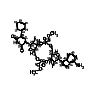 COOP1(=O)OC[C@H]2O[C@@H](n3cc(-c4ccccc4)c(=O)[nH]c3=O)C(F)[C@@H]2OP(=O)(SOC)OC[C@H]2O[C@@H](n3cnc4c(N)ncnc43)C(F)[C@@H]2O1